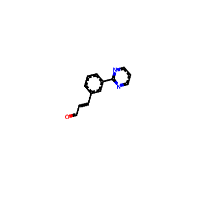 O=CC=Cc1cccc(-c2ncccn2)c1